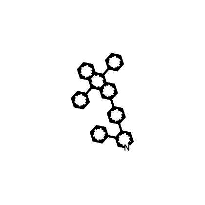 c1ccc(-c2cnccc2-c2ccc(-c3ccc4c(-c5ccccc5)c5ccccc5c(-c5ccccc5)c4c3)cc2)cc1